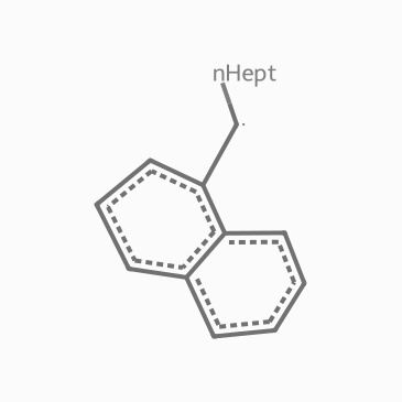 CCCCCCC[CH]c1cccc2ccccc12